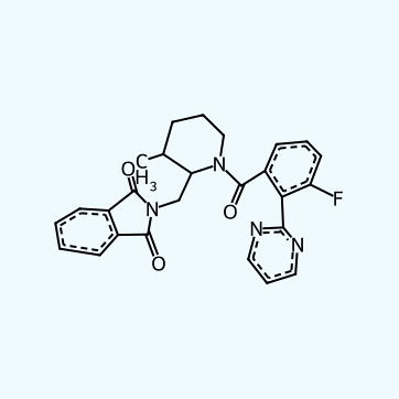 CC1CCCN(C(=O)c2cccc(F)c2-c2ncccn2)C1CN1C(=O)c2ccccc2C1=O